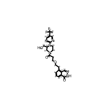 O=C(CCOCCc1cccc2c(=O)[nH]ncc12)N1CCN(c2ncc(C(F)(F)F)cn2)C(CO)C1